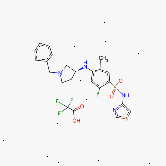 Cc1cc(S(=O)(=O)Nc2cscn2)c(F)cc1N[C@H]1CCN(Cc2ccccc2)C1.O=C(O)C(F)(F)F